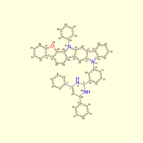 C1=C(c2ccccc2)NC(c2cccc(-n3c4ccccc4c4cc5c(cc43)c3ccc4c6ccccc6oc4c3n5-c3ccccc3)c2)NC1c1ccccc1